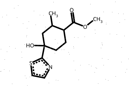 COC(=O)C1CCC(O)(c2nccs2)CC1C